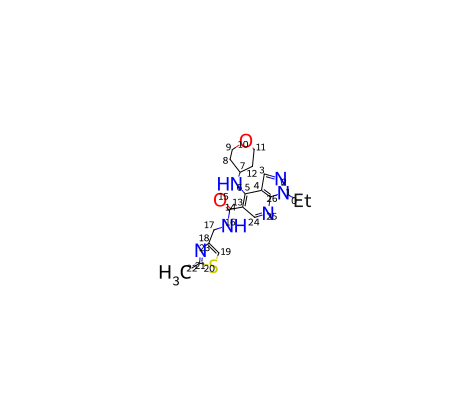 CCn1ncc2c(NC3CCOCC3)c(C(=O)NCc3csc(C)n3)cnc21